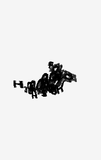 CS(=O)(=O)NCc1csc2c1S(=O)(=O)N=C(C1=C(O)CC(C3CCCC3)N(Cc3ccc(F)cc3)C1=O)N2